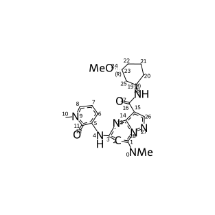 CNc1cc(Nc2cccn(C)c2=O)nc2c(C(=O)N[C@@H]3CCC[C@@H](OC)C3)cnn12